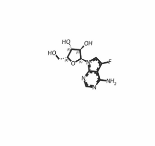 Nc1ncnc2c1c(F)cn2[C@H]1O[C@H](CO)[C@H](O)[C@H]1O